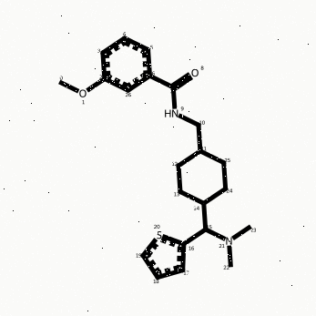 COc1cccc(C(=O)NCC2CCC(C(c3cccs3)N(C)C)CC2)c1